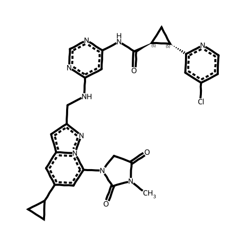 CN1C(=O)CN(c2cc(C3CC3)cc3cc(CNc4cc(NC(=O)[C@H]5C[C@@H]5c5cc(Cl)ccn5)ncn4)nn23)C1=O